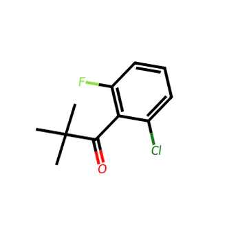 CC(C)(C)C(=O)c1c(F)cccc1Cl